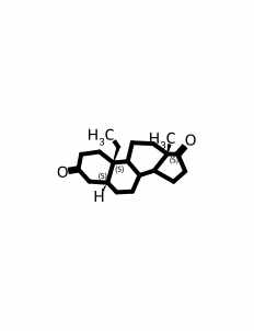 CC[C@]12CCC(=O)C[C@@H]1CCC1C2CC[C@]2(C)C(=O)CCC12